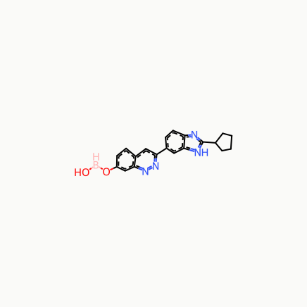 OBOc1ccc2cc(-c3ccc4nc(C5CCCC5)[nH]c4c3)nnc2c1